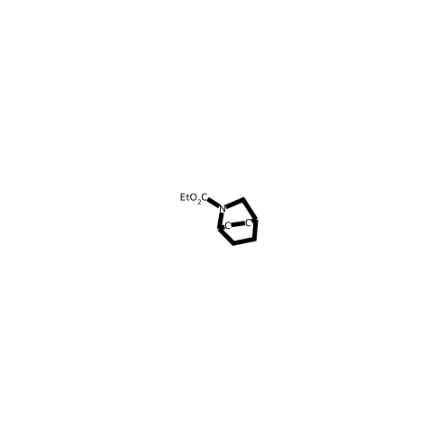 CCOC(=O)N1CC2CCC1CC2